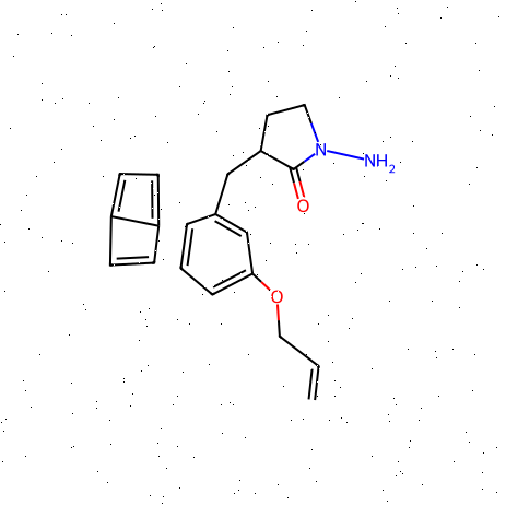 C=CCOc1cccc(CC2CCN(N)C2=O)c1.c1cc2ccc1-2